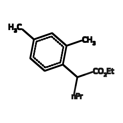 CCCC(C(=O)OCC)c1ccc(C)cc1C